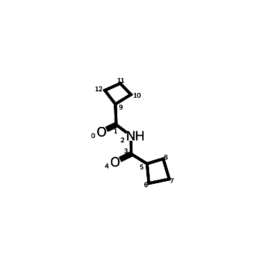 O=C(NC(=O)C1CCC1)C1CCC1